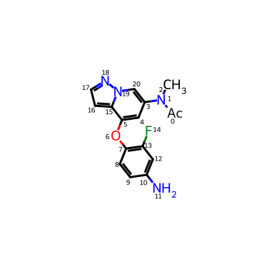 CC(=O)N(C)c1cc(Oc2ccc(N)cc2F)c2ccnn2c1